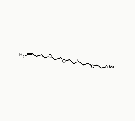 C=CCCCOCCOCCNCCOCCNC